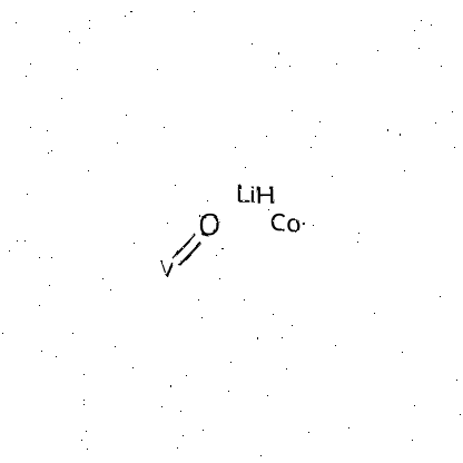 [Co].[LiH].[O]=[V]